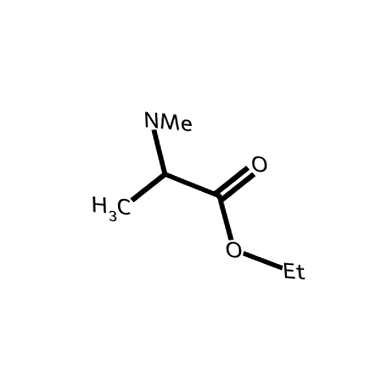 CCOC(=O)C(C)NC